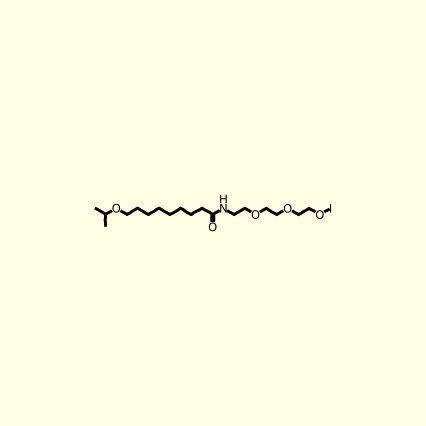 CC(C)OCCCCCCCCC(=O)NCCOCCOCCOI